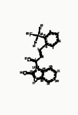 O=C(C=Cc1ccccc1C(F)(F)F)n1c(=O)oc2ccccc21